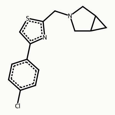 Clc1ccc(-c2csc(CN3CC4CC4C3)n2)cc1